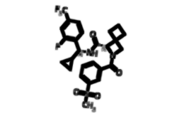 CS(=O)(=O)c1cccc(C(=O)N2CC3(CCC3)[C@H]2C(=O)N[C@@H](c2ccc(C(F)(F)F)cc2F)C2CC2)c1